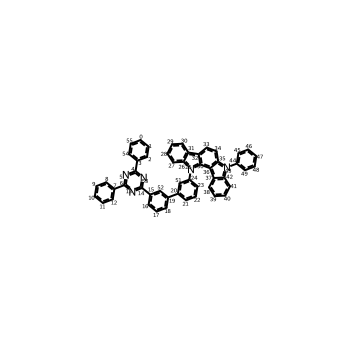 c1ccc(-c2nc(-c3ccccc3)nc(-c3cccc(-c4cccc(-n5c6ccccc6c6ccc7c(c8ccccc8n7-c7ccccc7)c65)c4)c3)n2)cc1